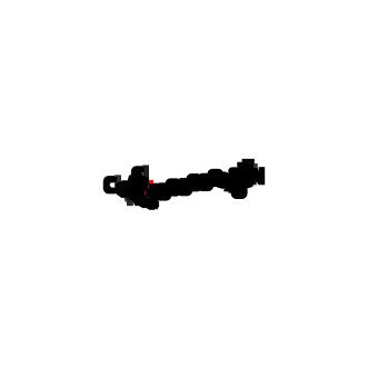 CCOc1cc(C(C)(C)C)ccc1C1=N[C@@](C)(c2ccc(Cl)cc2)[C@@](C)(c2ccc(Cl)cc2)N1C(=O)N1CCN(CCOCCOCCOCCOCCOCCOc2ccc(N3C(=S)N(c4ccc(C#N)c(C(F)(F)F)c4)C(=O)C3(C)C)cc2)CC1